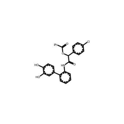 CC(C)C(=O)OC(C(=O)Nc1ccccc1-c1ccc(O)c(O)c1)c1ccc(Cl)cc1